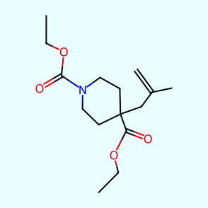 C=C(C)CC1(C(=O)OCC)CCN(C(=O)OCC)CC1